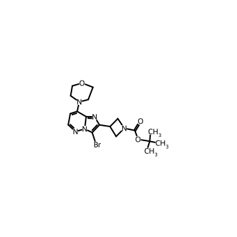 CC(C)(C)OC(=O)N1CC(c2nc3c(N4CCOCC4)ccnn3c2Br)C1